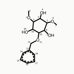 COC1C(O)C(OC)C(O)C(OCc2ccccc2)C1O